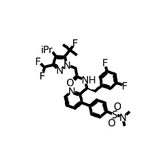 CC(C)c1c(C(F)F)nn(CC(=O)N[C@@H](Cc2cc(F)cc(F)c2)c2ncccc2-c2ccc(S(=O)(=O)N(C)C)cc2)c1C(C)(C)F